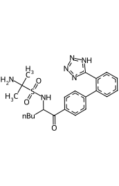 CCCCC(NS(=O)(=O)C(C)(C)N)C(=O)c1ccc(-c2ccccc2-c2nnn[nH]2)cc1